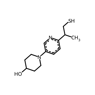 CC(CS)c1ccc(N2CCC(O)CC2)cn1